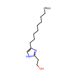 CCCCCCCCCCCCCCCCCc1c[nH]c(CCO)n1